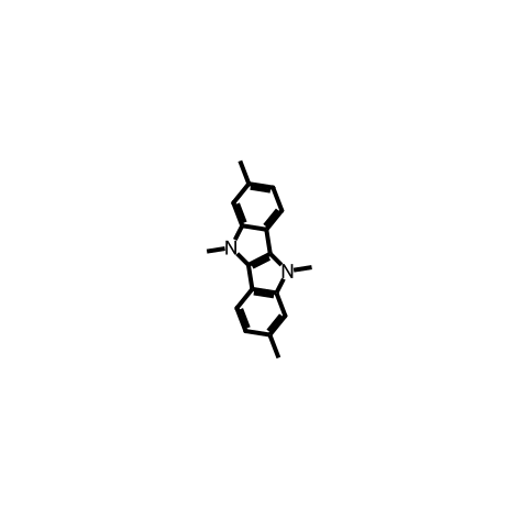 Cc1ccc2c(c1)n(C)c1c3ccc(C)cc3n(C)c21